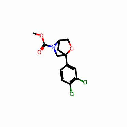 COC(=O)N1CC2(c3ccc(Cl)c(Cl)c3)CC1CO2